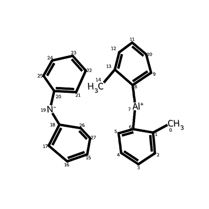 Cc1cccc[c]1[Al+][c]1ccccc1C.c1ccc([N-]c2ccccc2)cc1